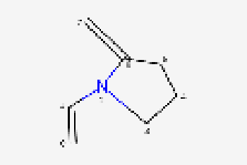 C=CN1CCCC1=C